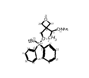 COC(C)C1(CO[Si](c2ccccc2)(c2ccccc2)C(C)(C)C)COC1